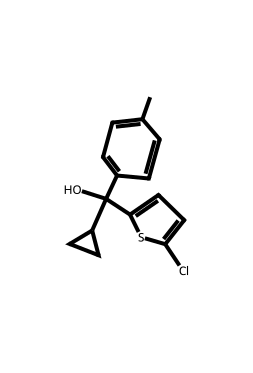 Cc1ccc(C(O)(c2ccc(Cl)s2)C2CC2)cc1